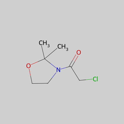 CC1(C)OCCN1C(=O)CCl